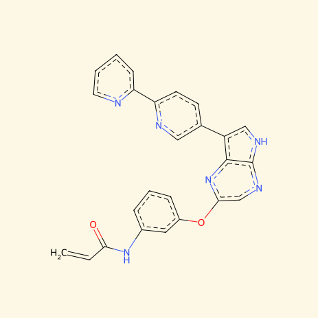 C=CC(=O)Nc1cccc(Oc2cnc3[nH]cc(-c4ccc(-c5ccccn5)nc4)c3n2)c1